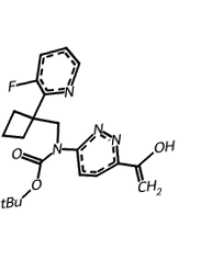 C=C(O)c1ccc(N(CC2(c3ncccc3F)CCC2)C(=O)OC(C)(C)C)nn1